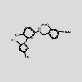 COc1ccc(CNc2ccc(C(C)=O)c(-n3nc(C#N)cc3C)n2)c(OC)c1